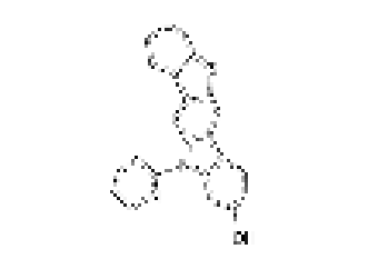 Oc1ccc2c3cc4sc5ccccc5c4cc3n(-c3ccccn3)c2c1